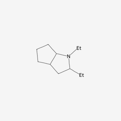 CCC1CC2CCCC2N1CC